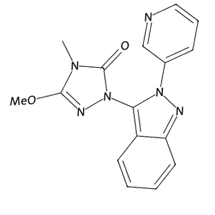 COc1nn(-c2c3ccccc3nn2-c2cccnc2)c(=O)n1C